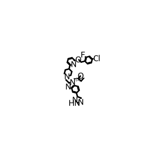 Fc1cc(Cl)ccc1COc1cccc(C2CCN(Cc3nc4cc(-c5cn[nH]n5)ccc4n3C[C@@H]3CCO3)CC2)n1